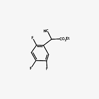 CCOC(=O)C(C#N)c1cc(F)c(F)cc1F